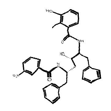 Cc1c(O)cccc1C(=O)N[C@@H](Cc1ccccc1)[C@@H](O)C[C@H](Cc1ccccc1)NC(=O)c1cccc([N+](=O)[O-])c1